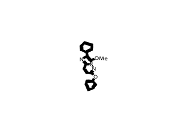 COc1c(-c2ccccc2)nc2ccc(Oc3ccccc3)nn12